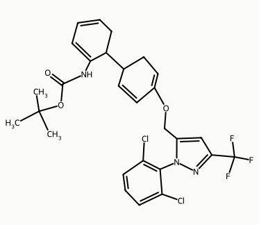 CC(C)(C)OC(=O)NC1=CC=CCC1C1C=CC(OCc2cc(C(F)(F)F)nn2-c2c(Cl)cccc2Cl)=CC1